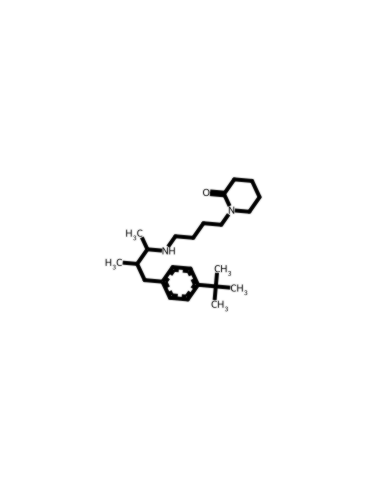 CC(Cc1ccc(C(C)(C)C)cc1)C(C)NCCCCN1CCCCC1=O